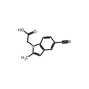 Cc1cc2cc(C#N)ccc2n1CC(=O)O